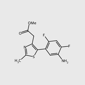 COC(=O)Cc1nc(C)sc1-c1cc(N)c(F)cc1F